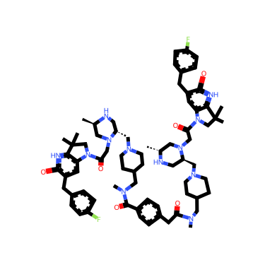 C[C@@H]1CN(CC(=O)N2CC(C)(C)c3[nH]c(=O)c(Cc4ccc(F)cc4)cc32)[C@@H](CN2CCC(CN(C)C(=O)Cc3ccc(C(=O)N(C)CC4CCN(C[C@H]5CN[C@H](C)CN5CC(=O)N5CC(C)(C)c6[nH]c(=O)c(Cc7ccc(F)cc7)cc65)CC4)cc3)CC2)CN1